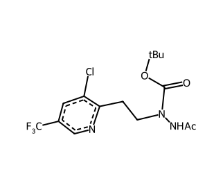 CC(=O)NN(CCc1ncc(C(F)(F)F)cc1Cl)C(=O)OC(C)(C)C